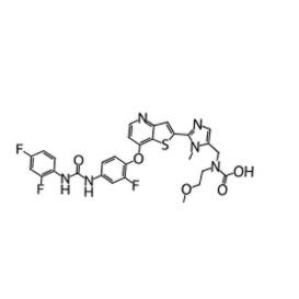 COCCN(Cc1cnc(-c2cc3nccc(Oc4ccc(NC(=O)Nc5ccc(F)cc5F)cc4F)c3s2)n1C)C(=O)O